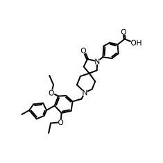 CCOc1cc(CN2CCC3(CC2)CC(=O)N(c2ccc(C(=O)O)cc2)C3)cc(OCC)c1-c1ccc(C)cc1